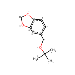 CC(C)(C)OCc1ccc2c(c1)OCO2